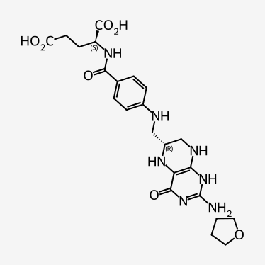 C1CCOC1.Nc1nc(=O)c2c([nH]1)NC[C@@H](CNc1ccc(C(=O)N[C@@H](CCC(=O)O)C(=O)O)cc1)N2